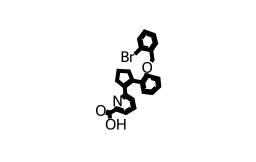 O=C(O)c1cccc(C2=C(c3ccccc3OCc3ccccc3Br)CCC2)n1